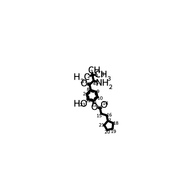 CC(C)(C)C(N)C(=O)c1ccc(OC(=O)CCC2CCCC2)c(O)c1